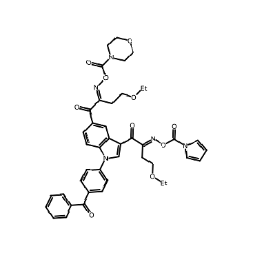 CCOCC/C(=N\OC(=O)N1CCOCC1)C(=O)c1ccc2c(c1)c(C(=O)/C(CCOCC)=N/OC(=O)n1cccc1)cn2-c1ccc(C(=O)c2ccccc2)cc1